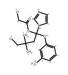 CC(C)(CCl)CC(OC(=O)CCl)(Oc1cccc(C(F)(F)F)c1)n1ccnc1